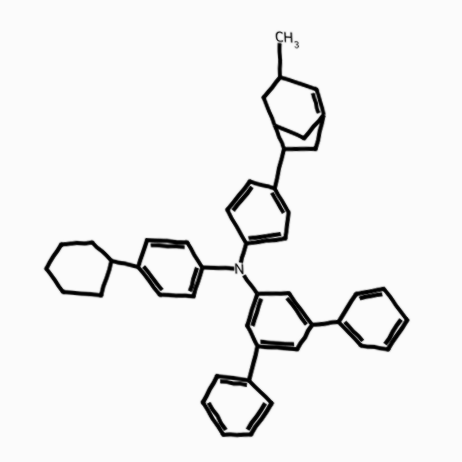 CC1C=C2CC(C1)C(c1ccc(N(c3ccc(C4CCCCC4)cc3)c3cc(-c4ccccc4)cc(-c4ccccc4)c3)cc1)C2